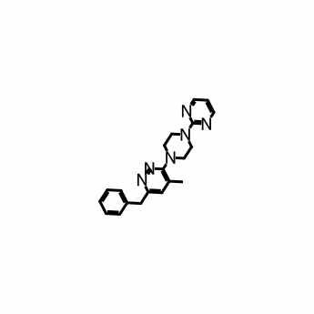 Cc1cc(Cc2ccccc2)nnc1N1CCN(c2ncccn2)CC1